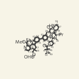 CCn1c(-c2cccnc2[C@H](C)OC)c(CC(C)(C)COC=O)c2cc(-c3cccc(C[C@H](NC(=O)[C@H](C(C)C)N(C)C(=O)[C@H]4CCN(C(=O)C(C)(C)N(C)C)C4)C(=O)N4CCC[C@@H](C)N4)c3)ccc21